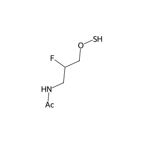 CC(=O)NCC(F)COS